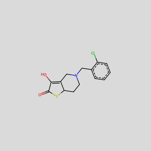 O=C1SC2CCN(Cc3ccccc3Cl)CC2=C1O